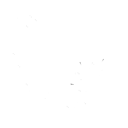 CC(C)C[C@H](NC(=O)[C@H](CCc1ccccc1)NC(=O)CN1CCC(OC(=O)CCC(=O)N2CCC(N3CCN(Cc4ccc(-n5c(O)nnc5-c5cc(C(C)C)c(O)cc5O)cc4)CC3)CC2)CC1)C(=O)N[C@@H](Cc1ccccc1)C(=O)N[C@@H](CC(C)C)C(=O)[C@@]1(C)CO1